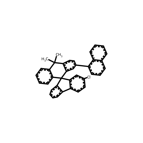 CC1(C)c2ccccc2C2(c3ccccc3-c3ccc(Cl)cc32)c2cc(-c3cccc4ccccc34)ccc21